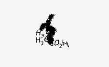 CC(C1CCN(C(=O)O)CC1)N1CCN(c2cccc3c(-c4ccc(OCc5ccccc5)nc4OCc4ccccc4)nn(C)c23)CC1